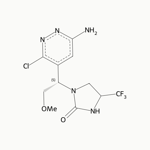 COC[C@H](c1cc(N)nnc1Cl)N1CC(C(F)(F)F)NC1=O